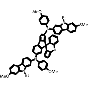 CCn1c2cc(OC)ccc2c2ccc(N(c3ccc(OC)cc3)c3ccc4c(c3)C3(c5ccccc5Sc5ccccc53)c3cc(N(c5ccc(OC)cc5)c5ccc6c7ccc(SC)cc7n(CC)c6c5)ccc3-4)cc21